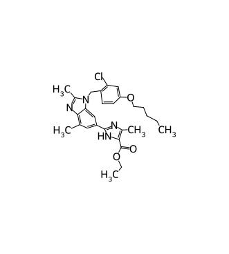 CCCCCOc1ccc(Cn2c(C)nc3c(C)cc(-c4nc(C)c(C(=O)OCC)[nH]4)cc32)c(Cl)c1